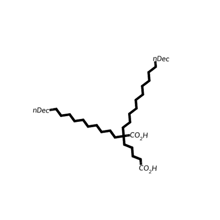 CCCCCCCCCCCCCCCCCCCCC(CCCCCCCCCCCCCCCCCCCC)(CCCCC(=O)O)C(=O)O